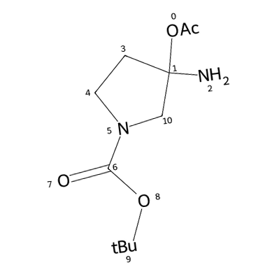 CC(=O)OC1(N)CCN(C(=O)OC(C)(C)C)C1